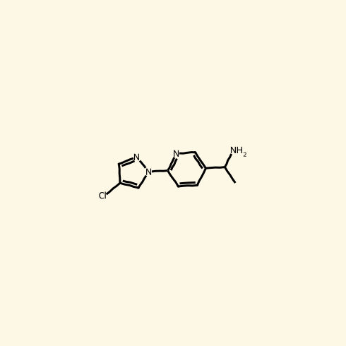 CC(N)c1ccc(-n2cc(Cl)cn2)nc1